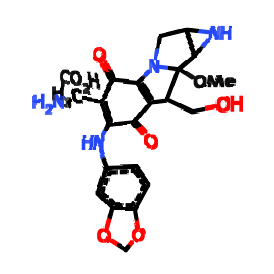 COC12C(CO)C3=C(C(=O)C(C)=C(Nc4ccc5c(c4)OCO5)C3=O)N1CC1NC12.NC(=O)O